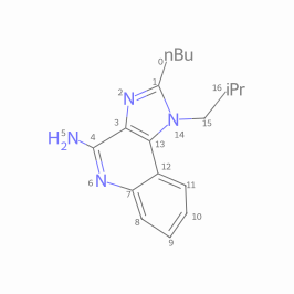 CCCCc1nc2c(N)nc3ccccc3c2n1CC(C)C